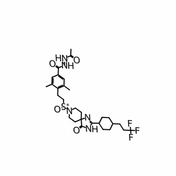 CC(=O)NNC(=O)c1cc(C)c(CC[S+]([O-])N2CCC3(CC2)N=C(C2CCC(CCC(F)(F)F)CC2)NC3=O)c(C)c1